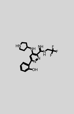 N=C(NCC(F)(F)F)c1nnc(-c2ccccc2O)cc1NC1CCNCC1